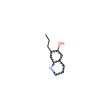 CCCc1cc2ncccc2cc1O